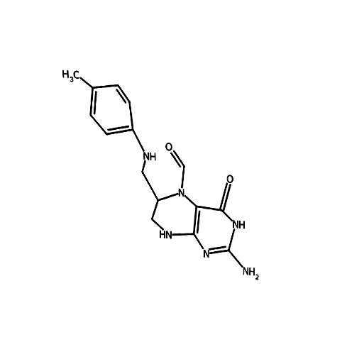 Cc1ccc(NCC2CNc3nc(N)[nH]c(=O)c3N2C=O)cc1